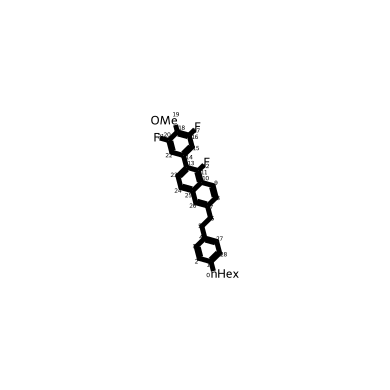 CCCCCCc1ccc(CCc2ccc3c(F)c(-c4cc(F)c(OC)c(F)c4)ccc3c2)cc1